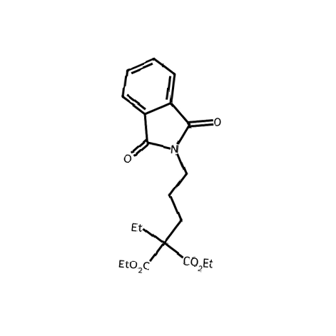 CCOC(=O)C(CC)(CCCN1C(=O)c2ccccc2C1=O)C(=O)OCC